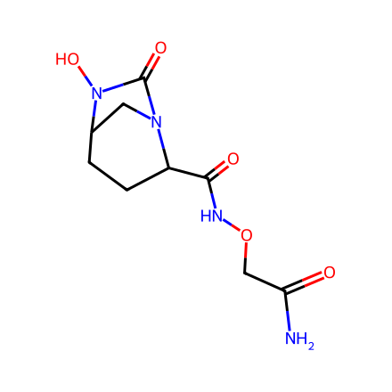 NC(=O)CONC(=O)C1CCC2CN1C(=O)N2O